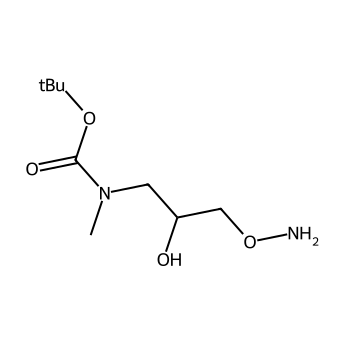 CN(CC(O)CON)C(=O)OC(C)(C)C